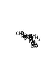 Cc1cc(OC[PH]2(O)OCCC(c3cccc(Cl)c3)O2)c(C)c(C)c1Cc1ccc(O)c(C2CCCCC2)n1